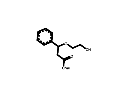 COC(=O)CC(OCCO)c1ccccc1